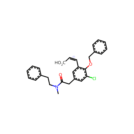 CN(CCc1ccccc1)C(=O)Cc1cc(Cl)c(OCc2ccccc2)c(/C=C\C(=O)O)c1